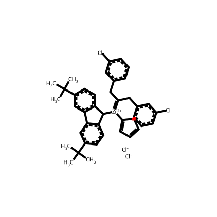 CC(C)(C)c1ccc2c(c1)-c1cc(C(C)(C)C)ccc1[CH]2[Zr+2]([C]1=CC=CC1)=[C](Cc1cccc(Cl)c1)Cc1cccc(Cl)c1.[Cl-].[Cl-]